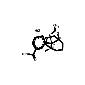 CCO[C@]1(c2cccc(C(N)=O)c2)[C@@H]2CCC[C@H]1CNC2.Cl